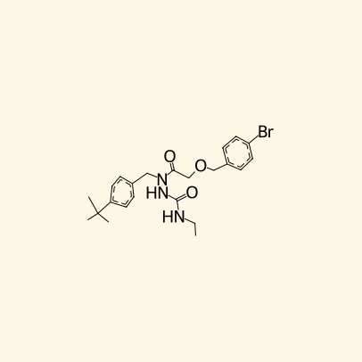 CCNC(=O)NN(Cc1ccc(C(C)(C)C)cc1)C(=O)COCc1ccc(Br)cc1